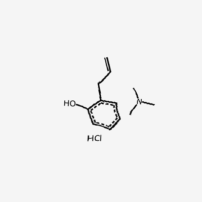 C=CCc1ccccc1O.CN(C)C.Cl